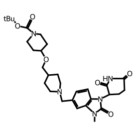 Cn1c(=O)n(C2CCC(=O)NC2=O)c2ccc(CN3CCC(COC4CCN(C(=O)OC(C)(C)C)CC4)CC3)cc21